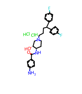 Cl.Cl.Nc1ccc(C(=O)N[C@@H]2CCN(CCCC(c3ccc(F)cc3)c3ccc(F)cc3)C[C@H]2O)cc1